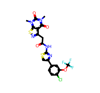 Cn1c(=O)c2c(CC(=O)Nc3nc(-c4ccc(Cl)c(OC(F)(F)F)c4)cs3)nsc2n(C)c1=O